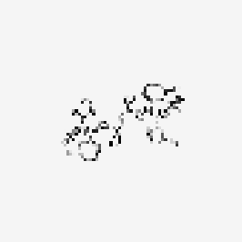 CS(=O)(=O)c1c(F)cccc1N(CC1=NCCN1)OC(=O)/C=C/C(=O)ON(CC1=NCCN1)c1cccc(F)c1S(C)(=O)=O